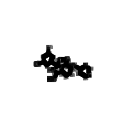 CC1(c2cc(F)cc(Cl)c2)NC(O)c2ccc(Nc3ccncn3)c(=O)n21